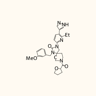 CCc1nc(N2CC3(CCN(C(=O)C4CCCO4)CC3)N(Cc3cccc(OC)c3)C2=O)ccc1-c1cn[nH]c1